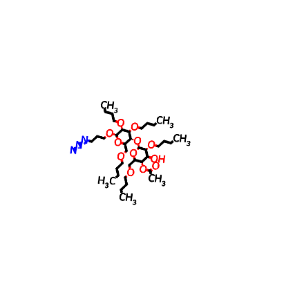 CCCCOCC1O[C@@H](OCCCN=[N+]=[N-])[C@@H](OCCCC)C(OCCCC)[C@@H]1O[C@@H]1OC(COCCCC)[C@H](OC(C)=O)C(O)[C@@H]1OCCCC